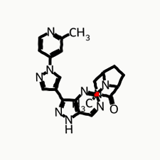 Cc1cc(-n2cc(-c3n[nH]c4cnc(N5C6CCC5C(=O)N(C)C6)nc34)cn2)ccn1